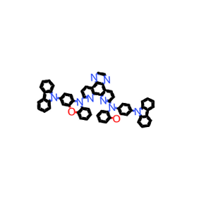 c1ccc2c(c1)Oc1cc(-n3c4ccccc4c4ccccc43)ccc1N2c1ccc2c3nccnc3c3ccc(N4c5ccccc5Oc5cc(-n6c7ccccc7c7ccccc76)ccc54)nc3c2n1